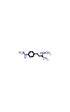 C=C(CCc1ccc(NC)cc1)NC